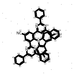 CC(C)(C)c1ccc2c(c1)c1cc(C(C)(C)C)ccc1n2-c1c(-c2cc(-c3ccccc3)nc(-c3ccccc3)n2)cc(C#N)cc1-c1nc(-c2ccccc2)cc(-c2ccccc2)n1